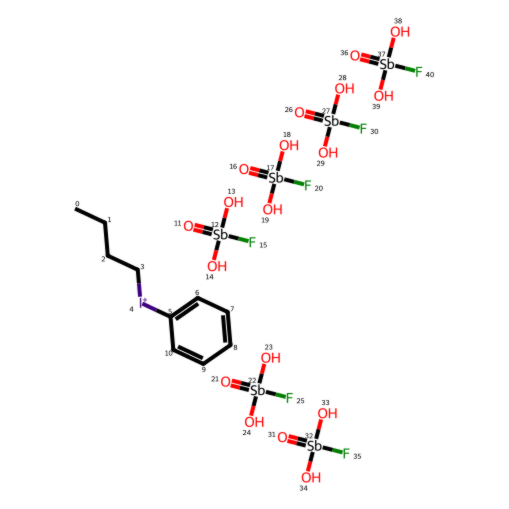 CCCC[I+]c1ccccc1.[O]=[Sb]([OH])([OH])[F].[O]=[Sb]([OH])([OH])[F].[O]=[Sb]([OH])([OH])[F].[O]=[Sb]([OH])([OH])[F].[O]=[Sb]([OH])([OH])[F].[O]=[Sb]([OH])([OH])[F]